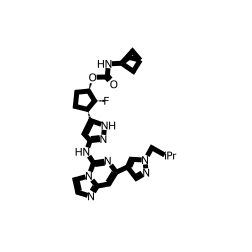 CC(C)Cn1cc(-c2cc3nccn3c(Nc3cc([C@@H]4CC[C@H](OC(=O)NC56CC(C5)C6)[C@@H]4F)[nH]n3)n2)cn1